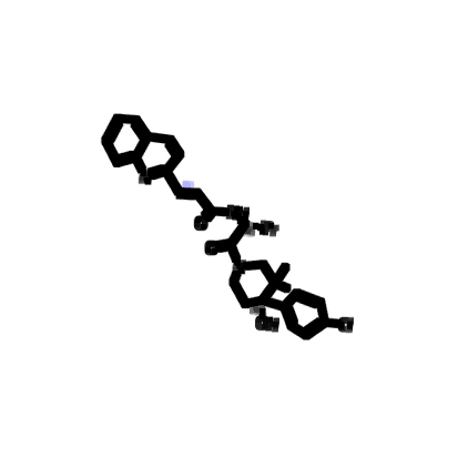 CC(C)[C@@H](NC(=O)/C=C/c1ccc2ccccc2n1)C(=O)N1CC[C@](O)(c2ccc(Cl)cc2)C(C)(C)C1